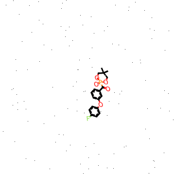 CC1(C)COP(=O)(C(=O)c2cccc(Oc3ccc(F)cc3)c2)OC1